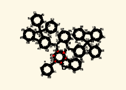 c1ccc(-c2ccc(N(c3cccc(C4(c5ccccc5)c5ccccc5-c5ccccc54)c3)c3ccccc3N(c3ccc4c(c3)C(c3ccccc3)(c3ccccc3)c3ccccc3-4)c3ccc4oc5ccccc5c4c3)cc2)cc1